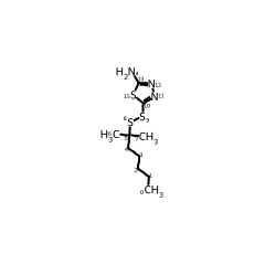 CCCCCC(C)(C)SSc1nnc(N)s1